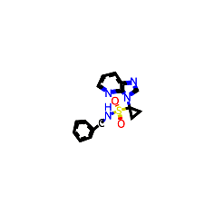 O=S(=O)(NCc1ccccc1)C1(n2cnc3cccnc32)CC1